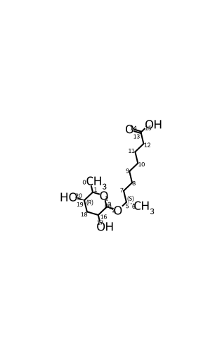 CC1O[C@@H](O[C@@H](C)CCCCCCC(=O)O)C(O)C[C@H]1O